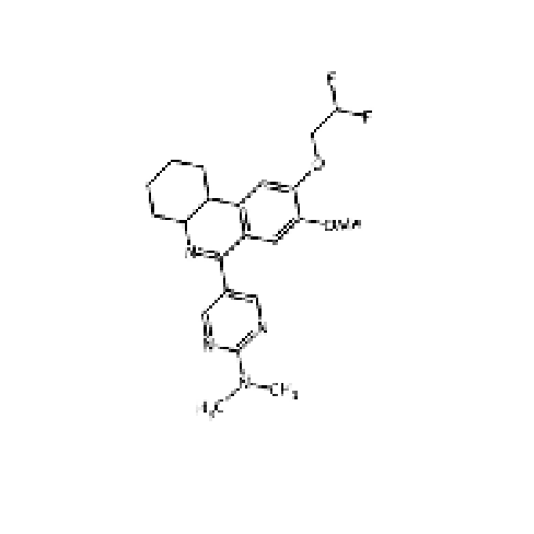 COc1cc2c(cc1OCC(F)F)C1CCCCC1N=C2c1cnc(N(C)C)nc1